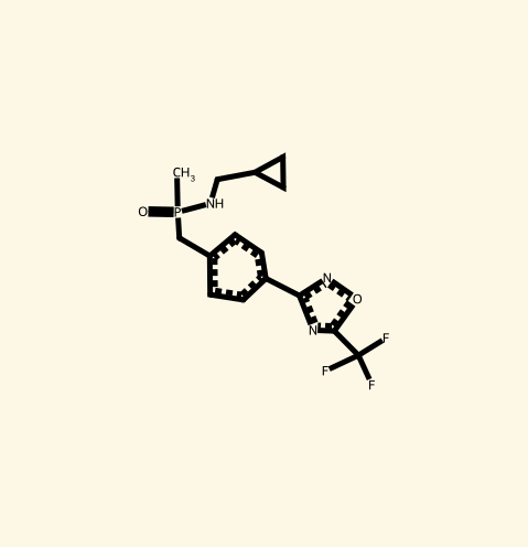 CP(=O)(Cc1ccc(-c2noc(C(F)(F)F)n2)cc1)NCC1CC1